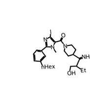 CCCCCCc1cccc(-c2nc(I)c(C(=O)N3CCC(C(=N)C(CC)CO)CC3)n2C)c1